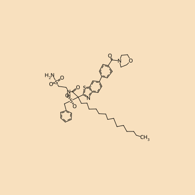 CCCCCCCCCCCCCCC(C(=O)NCCS(N)(=O)=O)(c1nc2ccc(-c3ccc(C(=O)N4CCOCC4)cc3)cc2s1)S(=O)(=O)Cc1ccccc1